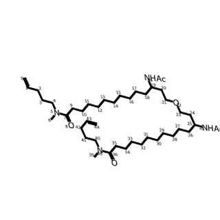 C=CCCCN(C)C(=O)CCCCCCCCCCC(CCOCCC(CCCCCCCCCCC(=O)N(C)CCCC=C)NC(C)=O)NC(C)=O